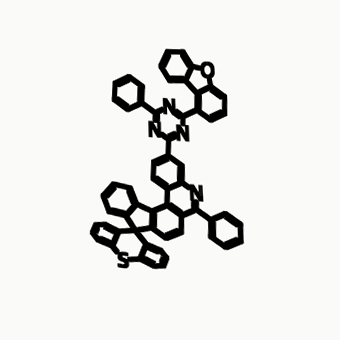 c1ccc(-c2nc(-c3ccc4c(c3)nc(-c3ccccc3)c3ccc5c(c34)-c3ccccc3C53c4ccccc4Sc4ccccc43)nc(-c3cccc4oc5ccccc5c34)n2)cc1